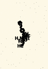 C#CCNC(=O)[C@@H](N)C(SNc1ccc(CCN2CCCC2)cc1)N(CC)C(C)=O